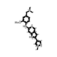 COc1cc(CN(C)C)ccc1Nc1cc2[nH]c(-c3cnn(C)c3)cc2cn1